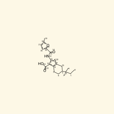 CCC(C)(C)C1CCc2c(sc(NC(=O)c3ccc(C)o3)c2C(=O)O)C1